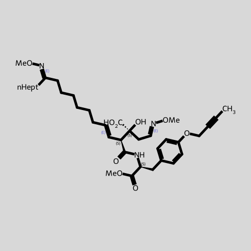 CC#CCOc1ccc(C[C@H](NC(=O)[C@@H](/C=C/CCCCCC/C(CCCCCCC)=N/OC)[C@@](O)(C/C=N/OC)C(=O)O)C(=O)OC)cc1